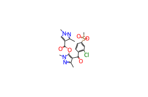 Cc1nn(C)cc1C(=O)Oc1c(C(=O)c2ccc(S(C)(=O)=O)cc2Cl)c(C)nn1C